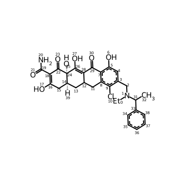 CCN(Cc1cc(O)c2c(c1Cl)CC1C[C@H]3CC(O)=C(C(N)=O)C(=O)[C@@]3(O)C(O)=C1C2=O)C(C)c1ccccc1